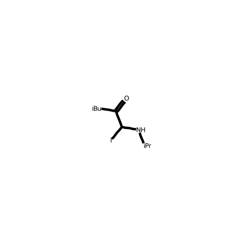 CCC(C)C(=O)C(I)NC(C)C